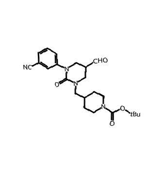 CC(C)(C)OC(=O)N1CCC(CN2CC(C=O)CN(c3cccc(C#N)c3)C2=O)CC1